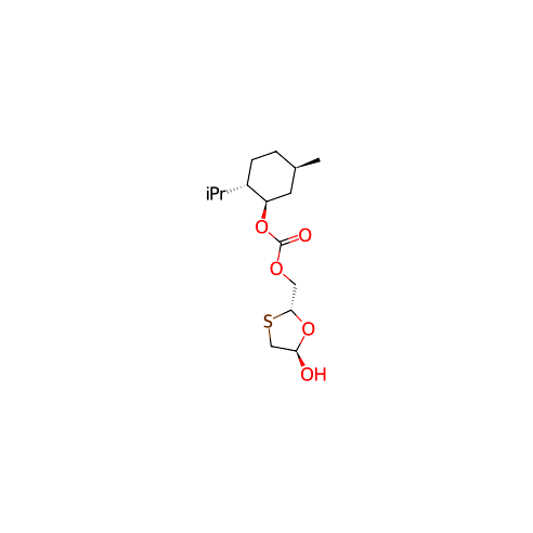 CC(C)[C@@H]1CC[C@@H](C)C[C@H]1OC(=O)OC[C@@H]1O[C@@H](O)CS1